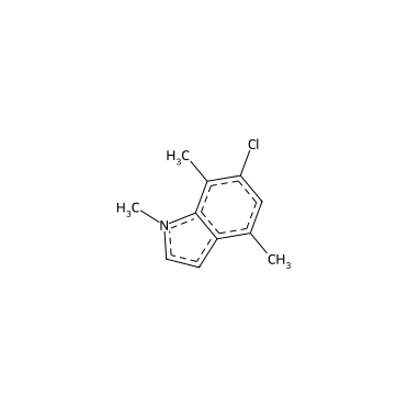 Cc1cc(Cl)c(C)c2c1ccn2C